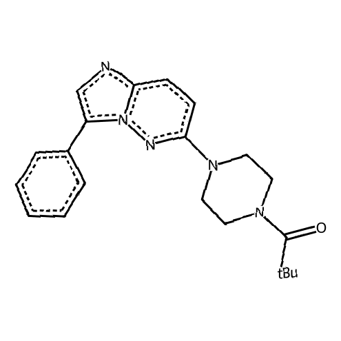 CC(C)(C)C(=O)N1CCN(c2ccc3ncc(-c4ccccc4)n3n2)CC1